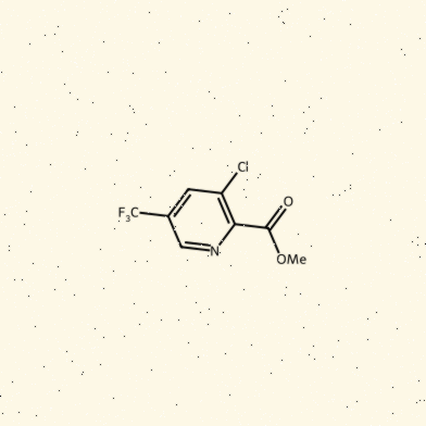 COC(=O)c1ncc(C(F)(F)F)cc1Cl